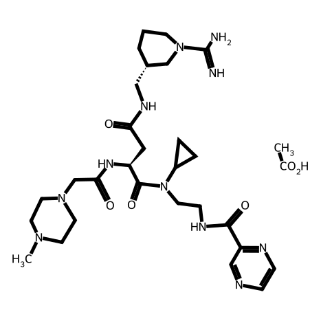 CC(=O)O.CN1CCN(CC(=O)N[C@@H](CC(=O)NC[C@@H]2CCCN(C(=N)N)C2)C(=O)N(CCNC(=O)c2cnccn2)C2CC2)CC1